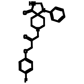 O=C(COc1ccc(F)cc1)CN1CCC2(CC1)C(=O)NCN2c1ccccc1